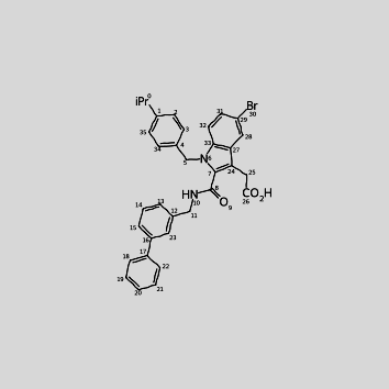 CC(C)c1ccc(Cn2c(C(=O)NCc3cccc(-c4ccccc4)c3)c(CC(=O)O)c3cc(Br)ccc32)cc1